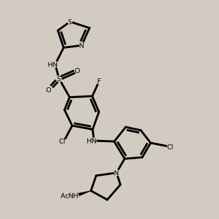 CC(=O)N[C@@H]1CCN(c2cc(Cl)ccc2Nc2cc(F)c(S(=O)(=O)Nc3cscn3)cc2Cl)C1